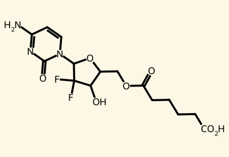 Nc1ccn(C2OC(COC(=O)CCCCC(=O)O)C(O)C2(F)F)c(=O)n1